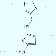 Nc1ccc(NCc2cccs2)s1